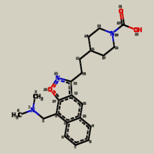 CN(C)Cc1c2ccccc2cc2c(CCC3CCN(C(=O)O)CC3)noc12